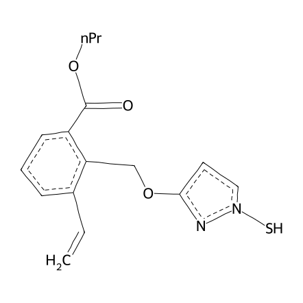 C=Cc1cccc(C(=O)OCCC)c1COc1ccn(S)n1